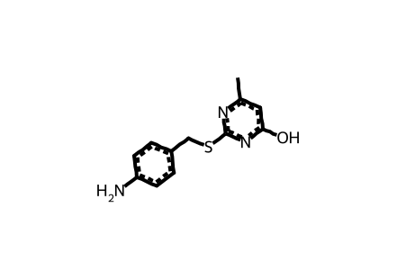 Cc1cc(O)nc(SCc2ccc(N)cc2)n1